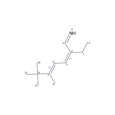 CC/C(C=N)=C/C=C(\C)C(C)(C)C